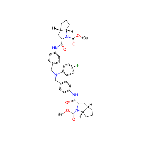 CC(C)OC(=O)N1[C@H](C(=O)Nc2ccc(CN(Cc3ccc(NC(=O)[C@@H]4C[C@@H]5CCC[C@@H]5N4C(=O)OC(C)(C)C)cc3)c3ccc(F)cc3)cc2)C[C@@H]2CCC[C@@H]21